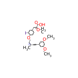 CCOc1cc(C#C/C(C)=C\COc2ccc(C[C@H](OCC)C(=O)O)cc2I)cc(OCC)c1